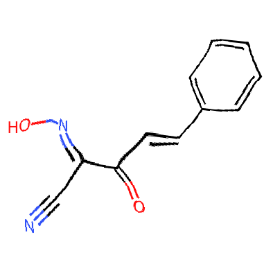 N#CC(=NO)C(=O)C=Cc1ccccc1